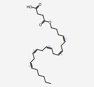 CCCCC/C=C\C/C=C\C/C=C\C/C=C\C/C=C\CCCOC(=O)CCC(=O)O